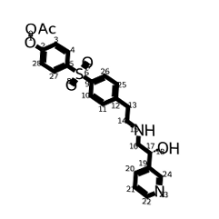 CC(=O)OOc1ccc(S(=O)(=O)c2ccc(CCNC[C@H](O)c3cccnc3)cc2)cc1